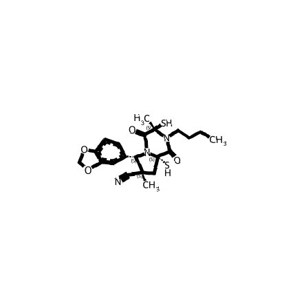 CCCCN1C(=O)[C@@]2(S)C[C@](C)(C#N)[C@H](c3ccc4c(c3)OCO4)N2C(=O)[C@]1(C)S